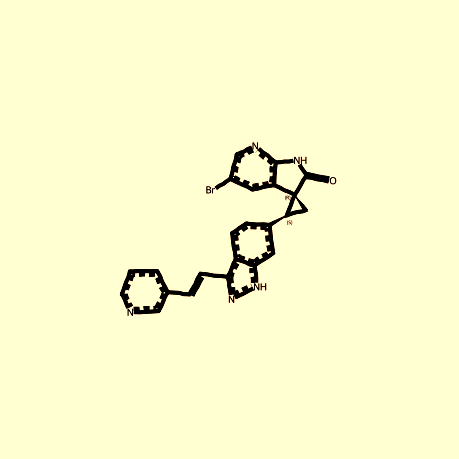 O=C1Nc2ncc(Br)cc2[C@]12C[C@H]2c1ccc2c(C=Cc3cccnc3)n[nH]c2c1